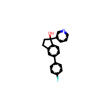 OC1(c2cccnc2)CCc2cc(-c3ccc(F)cc3)ccc21